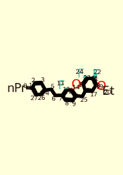 CCCc1ccc(CCc2ccc3c(c2F)Oc2c(cc(OCC)c(F)c2F)C3)cc1